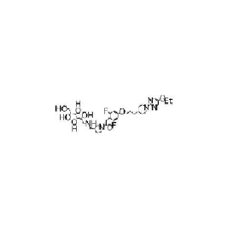 CCOc1cnc(N2CCC(CCCOc3cc(F)c(CC(=O)N4CC[C@@H](CNC[C@H](O)[C@@H](O)[C@H](O)[C@H](O)CO)C4)c(F)c3)CC2)nc1